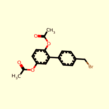 CC(=O)Oc1ccc(OC(C)=O)c(-c2ccc(CBr)cc2)c1